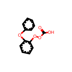 O=C(O)OOc1ccccc1Oc1ccccc1